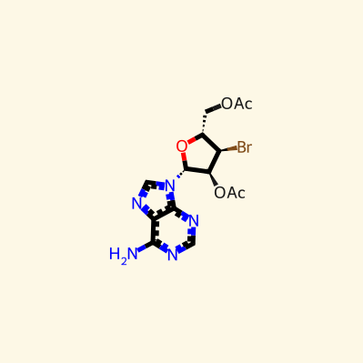 CC(=O)OC[C@H]1O[C@@H](n2cnc3c(N)ncnc32)[C@H](OC(C)=O)[C@@H]1Br